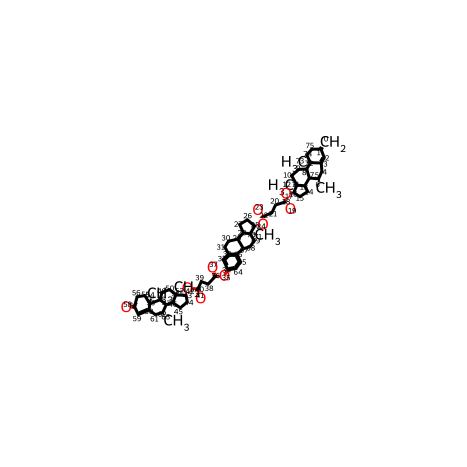 C=C1C=C2C[C@@H](C)C3C(CC[C@@]4(C)C3CC[C@@H]4OC(=O)CCC(=O)O[C@H]3CCC4C5CCc6cc(OC(=O)CCC(=O)O[C@H]7CCC8C9C(CC[C@@]87C)[C@@]7(C)CCC(=O)C=C7C[C@H]9C)ccc6C5CC[C@@]43C)[C@@]2(C)CC1